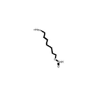 CCCCCCCCCCCCC[O][SnH]=[O]